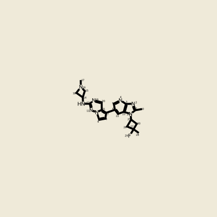 Cc1nc2ncc(-c3ccn4nc(NC5CN(C)C5)ncc34)cc2n1C1CC(C)(F)C1